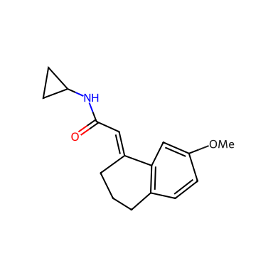 COc1ccc2c(c1)C(=CC(=O)NC1CC1)CCC2